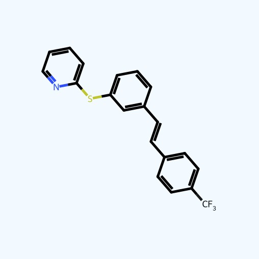 FC(F)(F)c1ccc(/C=C/c2cccc(Sc3ccccn3)c2)cc1